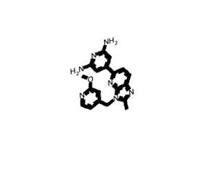 COc1cc(Cn2c(C)nc3ccc(-c4cc(N)nc(N)c4)nc32)ccn1